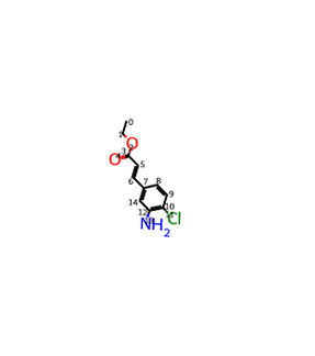 CCOC(=O)/C=C/c1ccc(Cl)c(N)c1